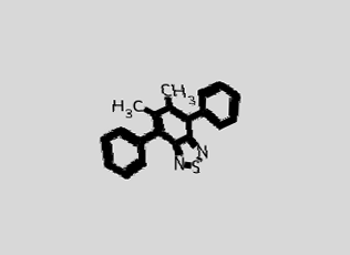 Cc1c(C)c(-c2ccccc2)c2nsnc2c1-c1ccccc1